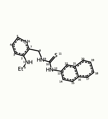 CCNc1cccnc1CNC(=S)Nc1ccc2ccccc2c1